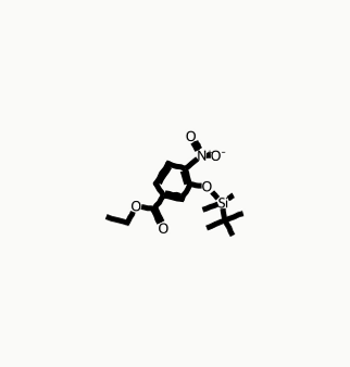 CCOC(=O)c1ccc([N+](=O)[O-])c(O[Si](C)(C)C(C)(C)C)c1